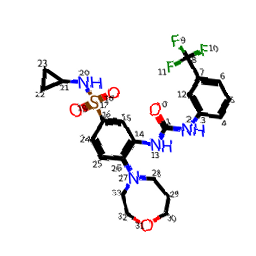 O=C(Nc1cccc(C(F)(F)F)c1)Nc1cc(S(=O)(=O)NC2CC2)ccc1N1CCCOCC1